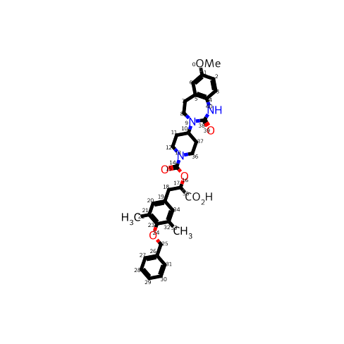 COc1ccc2c(c1)CCN(C1CCN(C(=O)OC(Cc3cc(C)c(OCc4ccccc4)c(C)c3)C(=O)O)CC1)C(=O)N2